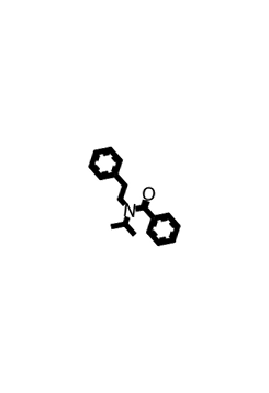 CC(C)N(CCc1ccccc1)C(=O)c1ccccc1